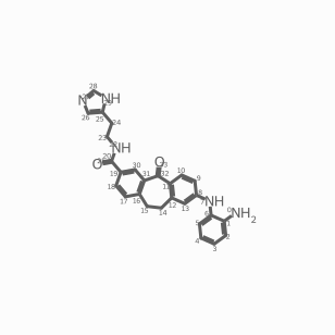 Nc1ccccc1Nc1ccc2c(c1)CCc1ccc(C(=O)NCCc3cnc[nH]3)cc1C2=O